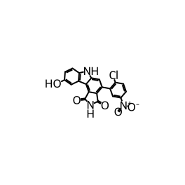 O=C1NC(=O)c2c1c(-c1cc([N+](=O)[O-])ccc1Cl)cc1[nH]c3ccc(O)cc3c21